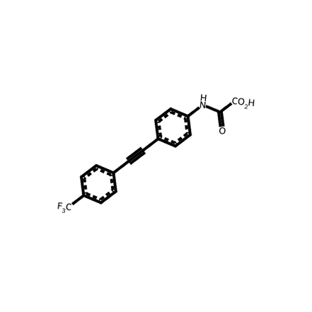 O=C(O)C(=O)Nc1ccc(C#Cc2ccc(C(F)(F)F)cc2)cc1